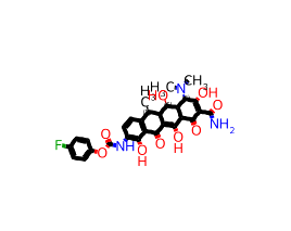 C[C@H]1c2ccc(NC(=O)Oc3ccc(F)cc3)c(O)c2C(=O)C2=C(O)C3C(=O)C(C(N)=O)=C(O)[C@@H](N(C)C)C3[C@@H](O)C21